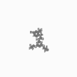 CN(C(=O)Nc1nc(OCC(F)(F)F)cc(OCC(F)(F)F)n1)c1ccc(Br)cc1C(F)(F)F